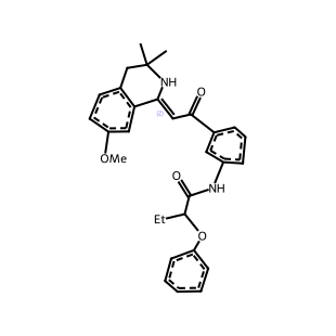 CCC(Oc1ccccc1)C(=O)Nc1cccc(C(=O)/C=C2\NC(C)(C)Cc3ccc(OC)cc32)c1